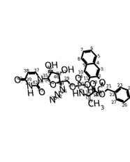 COc1cc2ccccc2cc1OP(=O)(N[C@@H](C)C(=O)OCc1ccccc1)OC[C@@]1(N=[N+]=[N-])O[C@@H](n2ccc(=O)[nH]c2=O)[C@H](O)[C@@H]1O